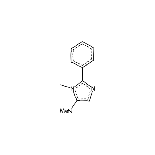 CNc1cnc(-c2ccccc2)n1C